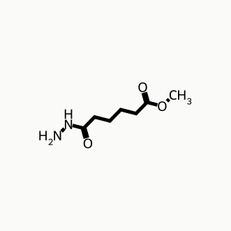 COC(=O)CCCCC(=O)NN